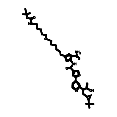 CC(C)(C)OC(=O)NCCOCCOCCCCCCn1cc(NC(=O)c2coc(-c3ccnc(N(CC4CC4C(C)(C)C)C(=O)O)c3)n2)c(C(N)=O)n1